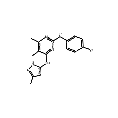 Cc1cc(Nc2nc(Nc3ccc(Cl)cc3)nc(C)c2C)[nH]n1